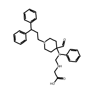 O=CC1(N(CNCC(=O)O)c2ccccc2)CCN(CCC(c2ccccc2)c2ccccc2)CC1